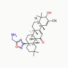 CC1(C)CC[C@]2(c3noc(CN)n3)CC[C@]3(C)[C@H](C(=O)C=C4[C@@]5(C)C=C(C#N)C(O)C(C)(C)[C@@H]5CC[C@]43C)[C@@H]2C1